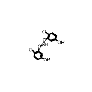 Oc1ccc(Cl)c(OBOc2cc(O)ccc2Cl)c1